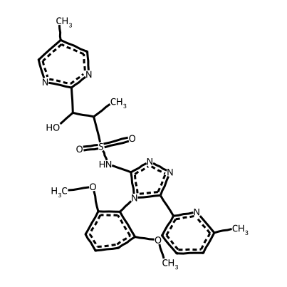 COc1cccc(OC)c1-n1c(NS(=O)(=O)C(C)C(O)c2ncc(C)cn2)nnc1-c1cccc(C)n1